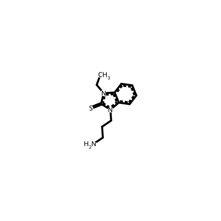 CCn1c(=S)n(CCCN)c2ccccc21